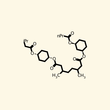 CCCC(=O)O[C@H]1CCC[C@@H](OC(=O)CC(C)CCC(C)CC(=O)O[C@H]2CC[C@@H](OC(=O)CC(C)C)CC2)C1